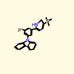 C[Si](C)(C)C1=CC=C(c2cc(Br)cc(-n3c4ccccc4c4ccccc43)c2)NC1